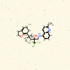 Cc1ccc2c(NCC(O)(CC(C)(C)C3=C4OCCC4=CC(F)C3)C(F)(F)F)cccc2n1